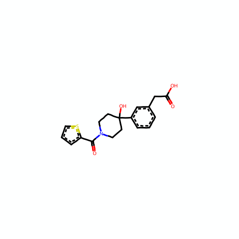 O=C(O)Cc1cccc(C2(O)CCN(C(=O)c3cccs3)CC2)c1